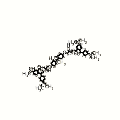 CCN(CC)c1ccc(C(=O)c2ccc(N(C)C)cc2C(=O)OCC(O)COc2ccc(C(C)(C)c3ccc(OCC(O)COC(=O)c4cc(N(C)C)ccc4C(=O)c4ccc(N(CC)CC)cc4)cc3)cc2)cc1